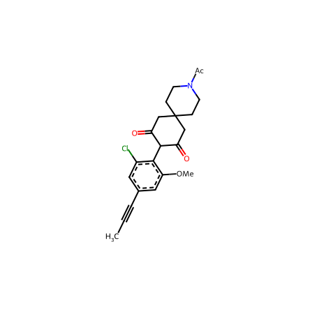 CC#Cc1cc(Cl)c(C2C(=O)CC3(CCN(C(C)=O)CC3)CC2=O)c(OC)c1